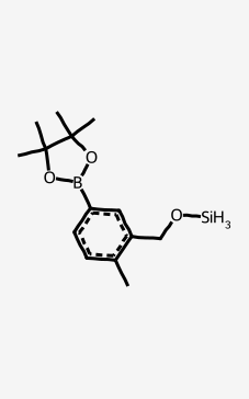 Cc1ccc(B2OC(C)(C)C(C)(C)O2)cc1CO[SiH3]